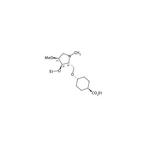 CCOC(=O)[C@H]1CC[C@H](OC[C@@H]2[C@@H](OCC)[C@@H](OC)CN2C)CC1